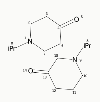 CC(C)N1CCC(=O)CC1.CC(C)N1CCCC(=O)C1